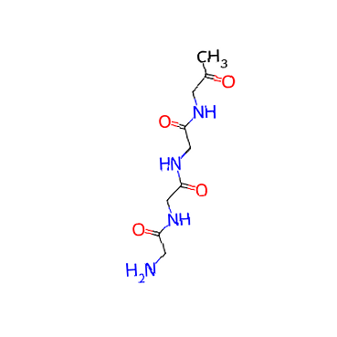 CC(=O)CNC(=O)CNC(=O)CNC(=O)CN